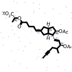 CC#CCC(C)[C@@H](/C=C/[C@@H]1[C@H]2C/C(=C/CCCC(=O)O[C@H](C)C(=O)OCC)C[C@H]2C[C@H]1OC(C)=O)OC(C)=O